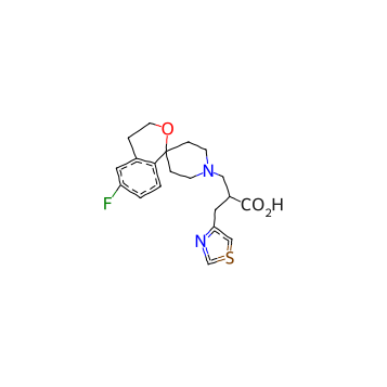 O=C(O)C(Cc1cscn1)CN1CCC2(CC1)OCCc1cc(F)ccc12